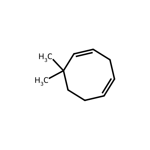 CC1(C)C=CCC=CCC1